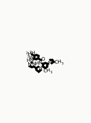 [2H]C([2H])([2H])c1ccc(C(=O)Nc2cc(C)cc(-n3ccc(C)c3)c2)cc1Nc1nccc(-c2cccnc2)n1